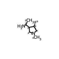 CC(N)C1CN(C)CC1F